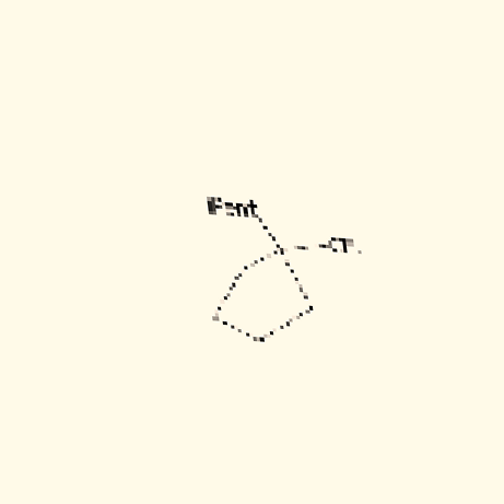 CCCC(C)C1(C(F)(F)F)CCCC1